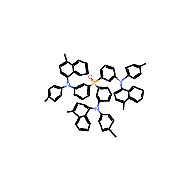 Cc1ccc(N(c2cccc(P(=O)(c3cccc(N(c4ccc(C)cc4)c4ccc(C)c5ccccc45)c3)c3cccc(N(c4ccc(C)cc4)c4ccc(C)c5ccccc45)c3)c2)c2ccc(C)c3ccccc23)cc1